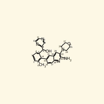 Cc1cccc(C(O)c2cnccn2)c1-c1ccc2nc(N)c(N3CCOCC3)cc2c1